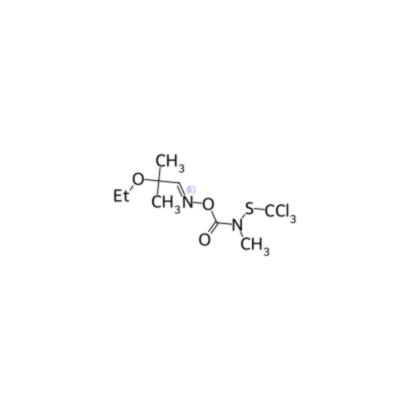 CCOC(C)(C)/C=N/OC(=O)N(C)SC(Cl)(Cl)Cl